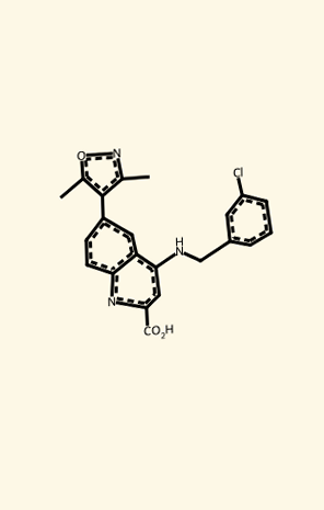 Cc1noc(C)c1-c1ccc2nc(C(=O)O)cc(NCc3cccc(Cl)c3)c2c1